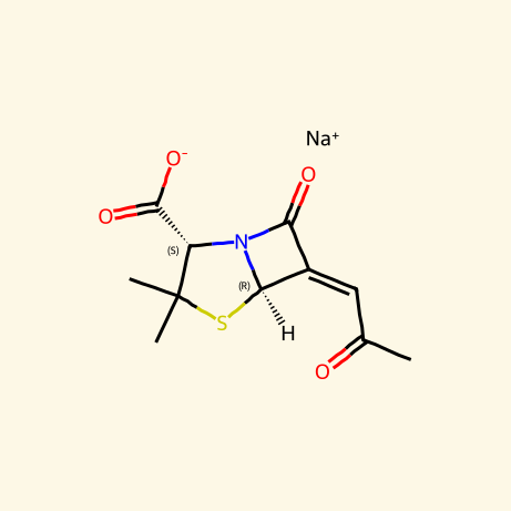 CC(=O)C=C1C(=O)N2[C@@H]1SC(C)(C)[C@@H]2C(=O)[O-].[Na+]